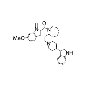 COc1ccc2cc(C(=O)N3CCCCCC3CCN3CCC(C4CNc5ccccc54)CC3)[nH]c2c1